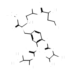 CCCC(C)C(=O)OC(C)CN[C@@H](Cc1ccc(OC(=O)OC(C)C(C)C)c(OC(=O)OC(C)C(C)C)c1)C(=O)OC